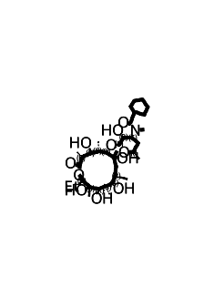 CC[C@H]1OC(=O)[C@H](C)[C@@H](O)[C@H](C)[C@@H](O[C@@H]2O[C@H](C)C[C@H](N(C)C(=O)C3CCCCC3)[C@H]2O)C(C)(O)C[C@@H](C)[C@H](O)[C@H](C)[C@@H](O)[C@]1(C)O